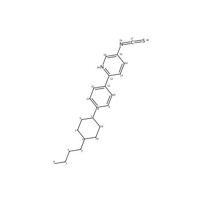 CCCCC1CCC(c2ccc(-c3ccc(N=C=S)cn3)cc2)CC1